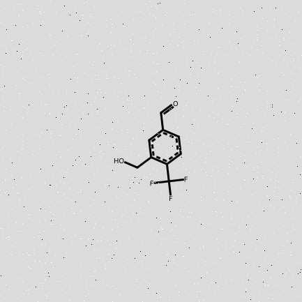 O=Cc1ccc(C(F)(F)F)c(CO)c1